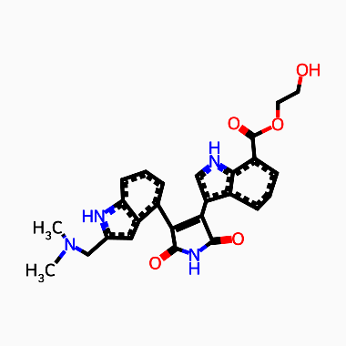 CN(C)Cc1cc2c(C3=C(c4c[nH]c5c(C(=O)OCCO)cccc45)C(=O)NC3=O)cccc2[nH]1